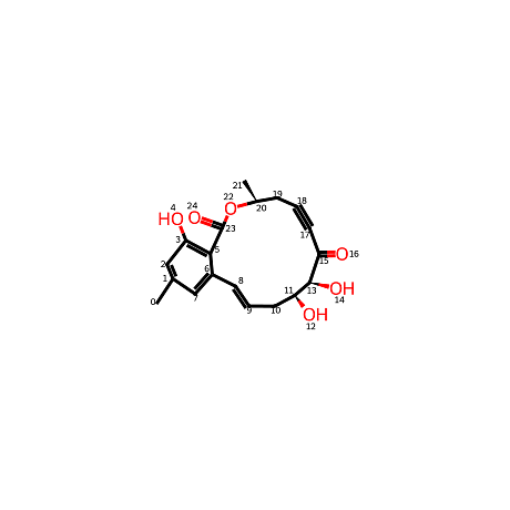 Cc1cc(O)c2c(c1)/C=C/C[C@H](O)[C@H](O)C(=O)C#CC[C@H](C)OC2=O